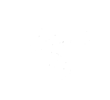 COc1ccc(C[C@@H]2[C@H](OC(=O)C3CCO3)[C@@H](OC(=O)OC(C)(C)C)CN2C(=O)OC(C)(C)C)cc1